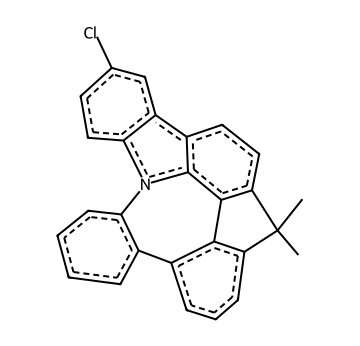 CC1(C)c2cccc3c2-c2c1ccc1c4cc(Cl)ccc4n(c21)-c1ccccc1-3